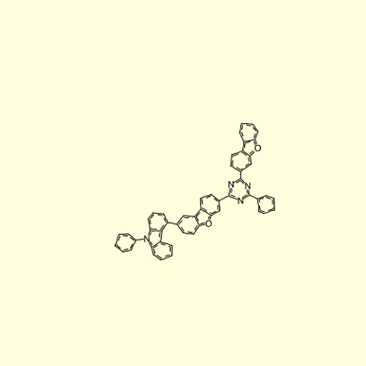 c1ccc(-c2nc(-c3ccc4c(c3)oc3ccccc34)nc(-c3ccc4c(c3)oc3ccc(-c5cccc6c5c5ccccc5n6-c5ccccc5)cc34)n2)cc1